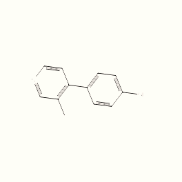 Cc1cnccc1-c1ccc(N)cc1